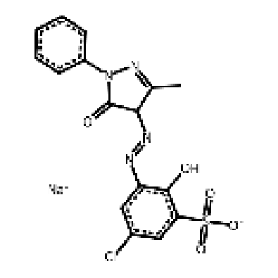 CC1=NN(c2ccccc2)C(=O)C1N=Nc1cc(Cl)cc(S(=O)(=O)[O-])c1O.[Na+]